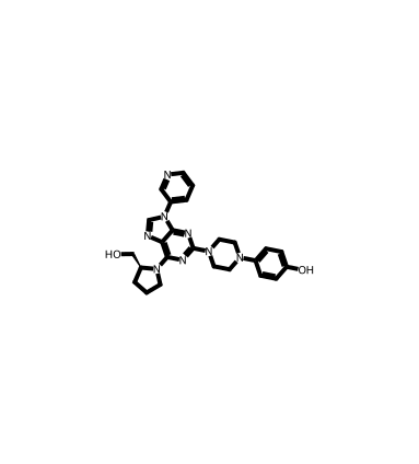 OC[C@@H]1CCCN1c1nc(N2CCN(c3ccc(O)cc3)CC2)nc2c1ncn2-c1cccnc1